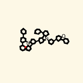 c1ccc(-c2ccc(-c3ccccc3)c(-n3c4ccccc4c4cc(-c5ccc6c(c5)c5c(-c7ccccc7)cccc5n6-c5cccc(-c6ccc7oc8ccccc8c7c6)c5)ccc43)c2)cc1